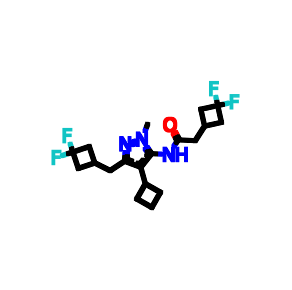 Cn1nc(CC2CC(F)(F)C2)c(C2CCC2)c1NC(=O)CC1CC(F)(F)C1